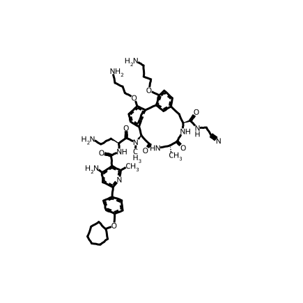 Cc1nc(-c2ccc(OC3CCCCCC3)cc2)cc(N)c1C(=O)N[C@@H](CCN)C(=O)N(C)[C@@H]1C(=O)N[C@@H](C)C(=O)N[C@H](C(=O)NCC#N)Cc2ccc(OCCCN)c(c2)-c2cc1ccc2OCCCN